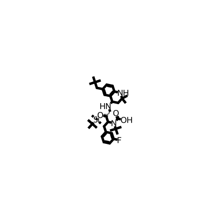 CC(C)(C)Cc1ccc2c(c1)C(NC[C@@H](O[Si](C)(C)C(C)(C)C)C(Cc1cccc(F)c1)N(C(=O)O)C(C)(C)C)CC(C)(C)N2